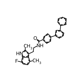 Cc1[nH]c2c(F)ccc(C)c2c1CCNC(=O)c1ccc(-c2cccc(-c3ccccc3)c2)cc1